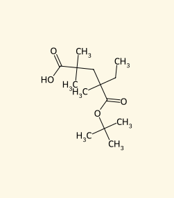 CCC(C)(CC(C)(C)C(=O)O)C(=O)OC(C)(C)C